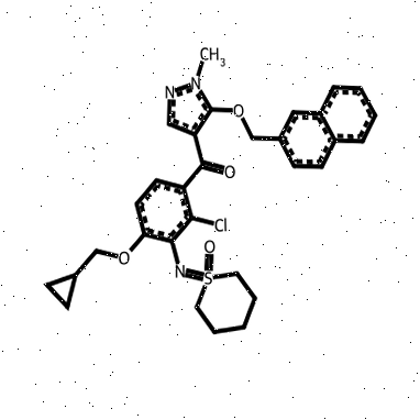 Cn1ncc(C(=O)c2ccc(OCC3CC3)c(N=S3(=O)CCCCC3)c2Cl)c1OCc1ccc2ccccc2c1